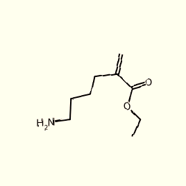 C=C(CCCCN)C(=O)OCC